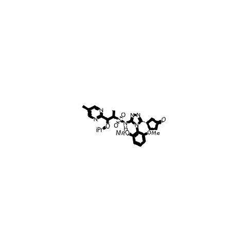 COc1cccc(OC)c1-n1c(NS(=O)(=O)C(C)C(OC(C)C)c2ncc(C)cn2)nnc1[C@H]1CCC(=O)C1